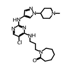 CN1CCC(n2cc(Nc3ncc(Cl)c(NCCCN4CCCCCC4=O)n3)cn2)CC1